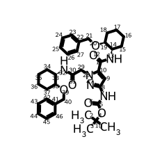 CC(C)(C)OC(=O)Nc1cc(C(=O)N[C@H]2CCCC[C@@H]2OCc2ccccc2)n(CC(=O)N[C@H]2CCCC[C@@H]2OCc2ccccc2)n1